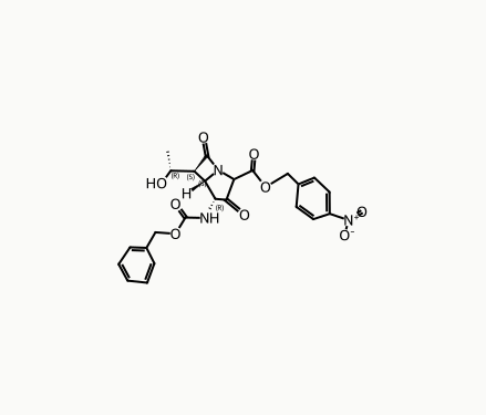 C[C@@H](O)[C@H]1C(=O)N2C(C(=O)OCc3ccc([N+](=O)[O-])cc3)C(=O)[C@H](NC(=O)OCc3ccccc3)[C@H]12